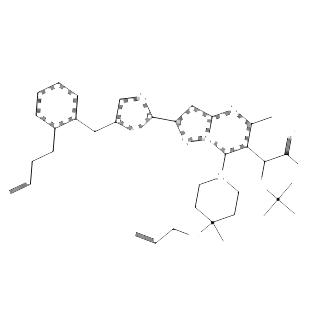 C=CCCc1ccccc1Cc1cnc(-c2cc3nc(C)c(C(OC(C)(C)C)C(=O)O)c(N4CCC(C)(OCC=C)CC4)n3n2)s1